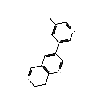 Cc1cncc(-c2cnc3c(c2)C=NCC3)c1